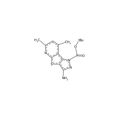 Cc1cc(C)c2c(n1)sc1c(N)nn(C(=O)OC(C)(C)C)c12